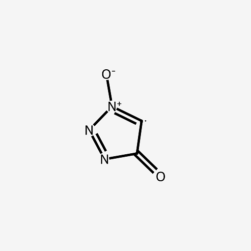 O=C1[C]=[N+]([O-])N=N1